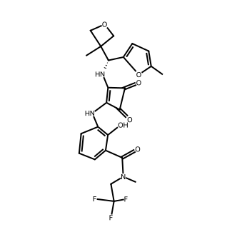 Cc1ccc([C@H](Nc2c(Nc3cccc(C(=O)N(C)CC(F)(F)F)c3O)c(=O)c2=O)C2(C)COC2)o1